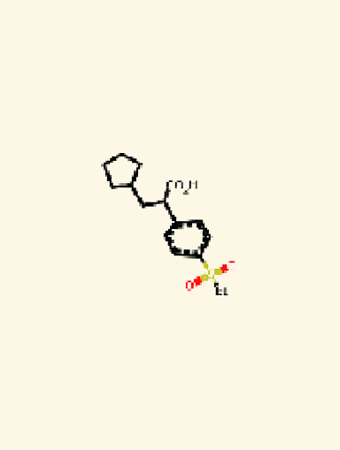 CCS(=O)(=O)c1ccc(C(CC2CCCC2)C(=O)O)cc1